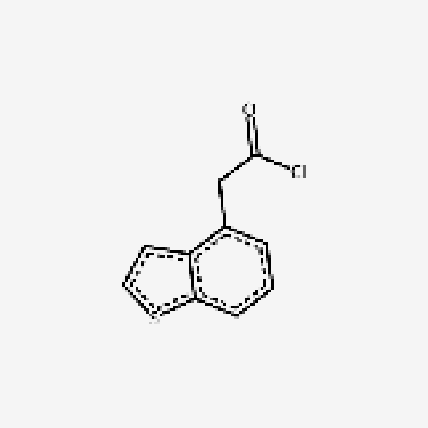 O=C(Cl)Cc1cccc2sccc12